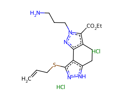 C=CCSc1n[nH]c2c1-c1nn(CCCN)c(C(=O)OCC)c1CC2.Cl.Cl